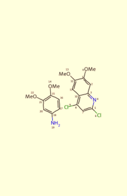 COc1cc2nc(Cl)cc(Cl)c2cc1OC.COc1ccc(N)cc1OC